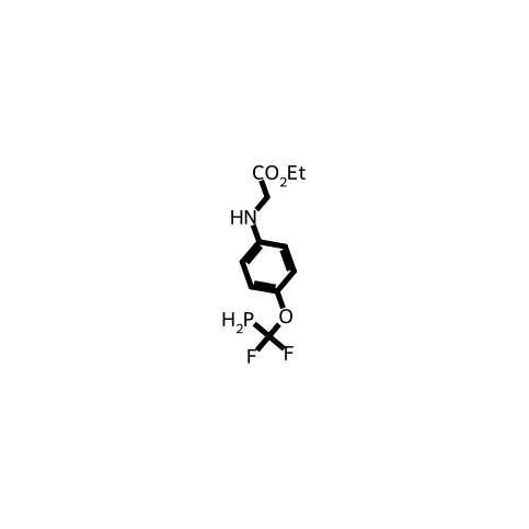 CCOC(=O)CNc1ccc(OC(F)(F)P)cc1